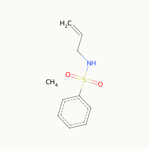 C.C=CCNS(=O)(=O)c1ccccc1